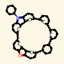 c1ccc(-n2c3ccc4cc3c3cc(ccc32)c2ccc3oc5ccc(cc5c3c2)c2cccc(c2)c2cccc(c2)c2cccc4c2)cc1